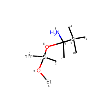 CCC[Si](C)(OCC)OC(C)(N)[Si](C)(C)C